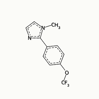 Cn1ccnc1-c1ccc(OC(F)(F)F)cc1